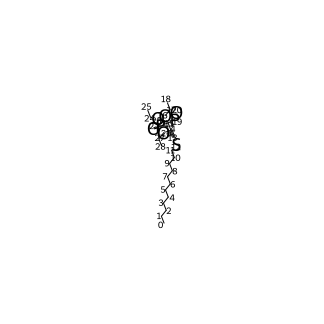 CCCCCCCCCCCCSC#CC(OCC)(P=O)P(=O)(OCC)OCC